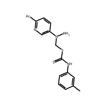 CC(=O)c1ccc(N(N)CSC(=S)Nc2cccc(C)c2)cn1